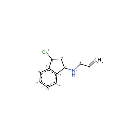 C=CCNC1CC(Cl)c2ccccc21